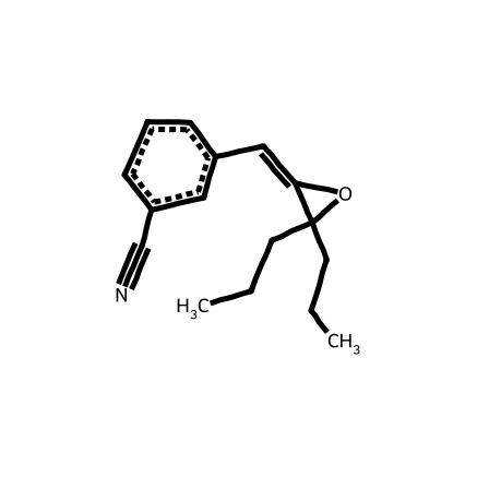 CCCC1(CCC)O/C1=C/c1cccc(C#N)c1